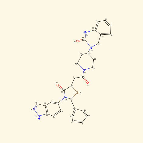 O=C(CC1SC(c2ccccc2)N(c2ccc3[nH]ncc3c2)C1=O)N1CCC(N2Cc3ccccc3NC2=O)CC1